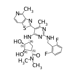 Cc1nc(NCc2c(F)cccc2F)nc(N[C@@H]2C[C@H](C(=O)N(C)C)[C@@H](O)[C@H]2O)c1-c1nc2c(C)nccc2s1